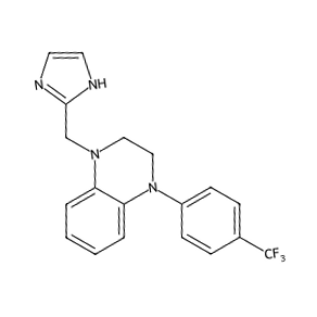 FC(F)(F)c1ccc(N2CCN(Cc3ncc[nH]3)c3ccccc32)cc1